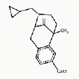 COc1ccc2c(c1)C1(C)CCN(CC3CC3)C(C2)C1=O